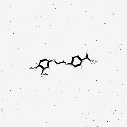 COc1ccc(OCCOc2ccc(C(=O)C(=O)O)cc2)cc1OC